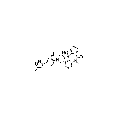 Cc1cc(-c2ccc(N3CCC(C4(O)c5ccccc5C(=O)N(C)c5ccccc54)CC3)c(Cl)c2)no1